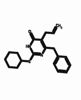 C=CCc1c(Cc2ccccc2)nc(SC2CCCCC2)[nH]c1=O